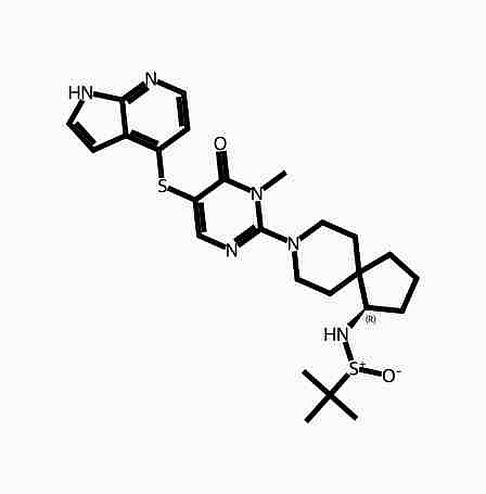 Cn1c(N2CCC3(CCC[C@H]3N[S+]([O-])C(C)(C)C)CC2)ncc(Sc2ccnc3[nH]ccc23)c1=O